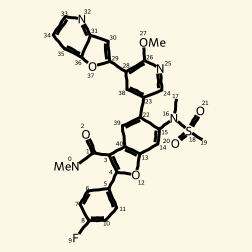 CNC(=O)c1c(-c2ccc(F)cc2)oc2cc(N(C)S(C)(=O)=O)c(-c3cnc(OC)c(-c4cc5ncccc5o4)c3)cc12